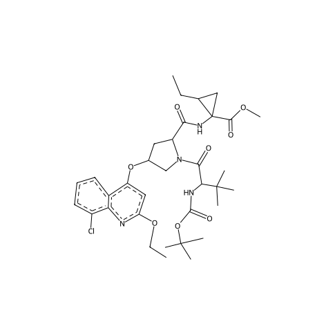 CCOc1cc(OC2CC(C(=O)NC3(C(=O)OC)CC3CC)N(C(=O)C(NC(=O)OC(C)(C)C)C(C)(C)C)C2)c2cccc(Cl)c2n1